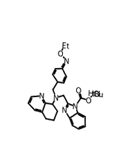 CCON=C1C=CC(CN(Cc2nc3ccccc3n2C(=O)OC(C)(C)C)C2CCCc3cccnc32)C=C1.Cl